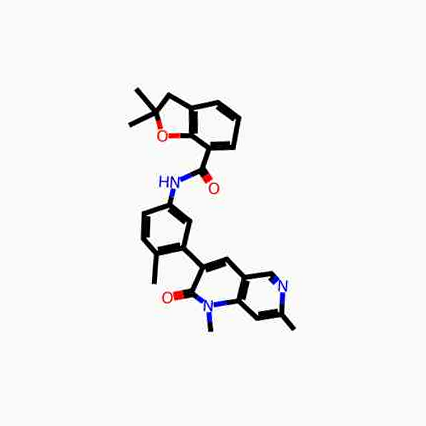 Cc1cc2c(cn1)cc(-c1cc(NC(=O)c3cccc4c3OC(C)(C)C4)ccc1C)c(=O)n2C